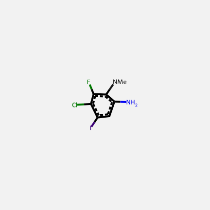 CNc1c(N)cc(I)c(Cl)c1F